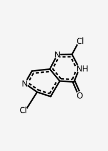 O=c1[nH]c(Cl)nc2cnc(Cl)cc12